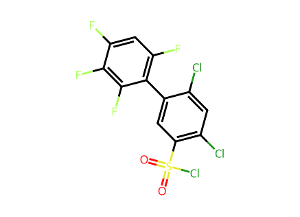 O=S(=O)(Cl)c1cc(-c2c(F)cc(F)c(F)c2F)c(Cl)cc1Cl